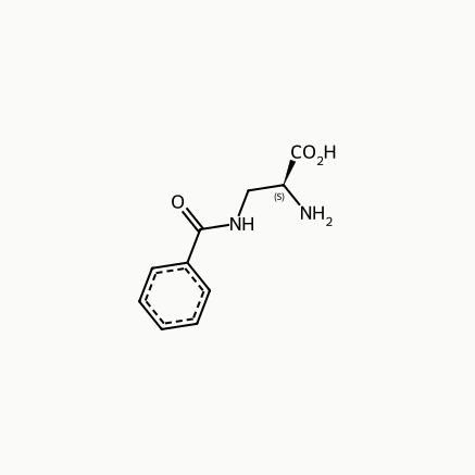 N[C@@H](CNC(=O)c1ccccc1)C(=O)O